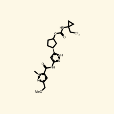 COCc1cc(C(=O)Nc2cc([C@H]3CCC(OC(=O)NC4(CC(F)(F)F)CC4)C3)[nH]n2)n(C)n1